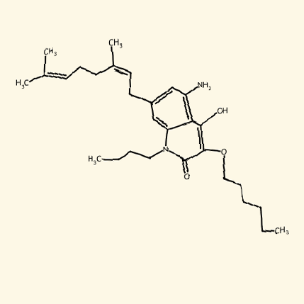 CCCCCCOc1c(O)c2c(N)cc(CC=C(C)CCC=C(C)C)cc2n(CCCC)c1=O